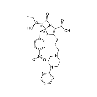 CC[C@H](O)[C@@H]1C(=O)N2C(C(=O)O)=C(SCCN3CCN(c4ncccn4)CC3)S[C@]12Cc1ccc([N+](=O)[O-])cc1